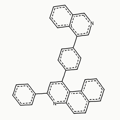 c1ccc(-c2cc(-c3ccc(-c4cncc5ccccc45)cc3)c3c(ccc4ccccc43)n2)cc1